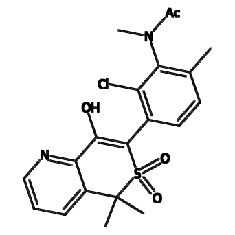 CC(=O)N(C)c1c(C)ccc(C2=C(O)c3ncccc3C(C)(C)S2(=O)=O)c1Cl